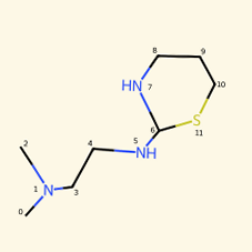 CN(C)CCNC1NCCCS1